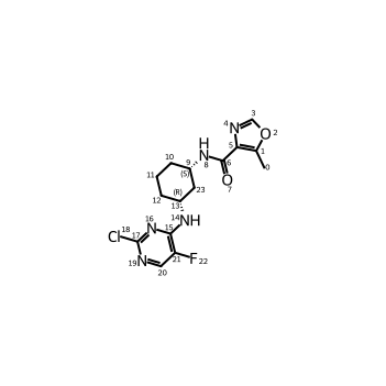 Cc1ocnc1C(=O)N[C@H]1CCC[C@@H](Nc2nc(Cl)ncc2F)C1